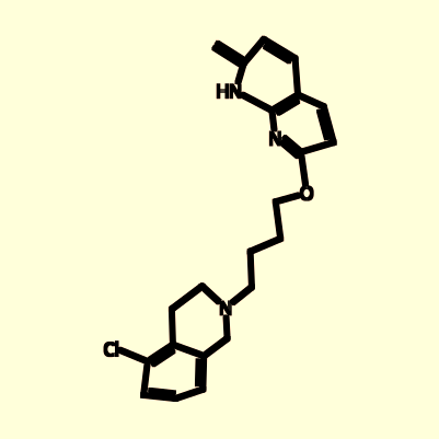 C=C1C=Cc2ccc(OCCCCN3CCc4c(Cl)cccc4C3)nc2N1